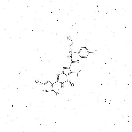 CC(C)c1c(C(=O)N[C@H](CCO)c2ccc(F)cc2)cn2nc(-c3cc(Cl)ccc3F)[nH]c(=O)c12